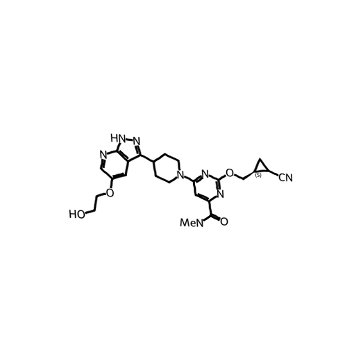 CNC(=O)c1cc(N2CCC(c3n[nH]c4ncc(OCCO)cc34)CC2)nc(OC[C@H]2CC2C#N)n1